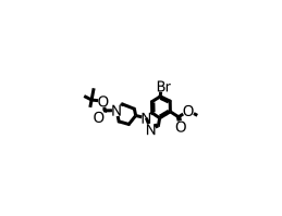 COC(=O)c1cc(Br)cc2c1cnn2C1CCN(C(=O)OC(C)(C)C)CC1